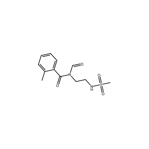 Cc1ccccc1C(=O)N(C=O)CCNS(C)(=O)=O